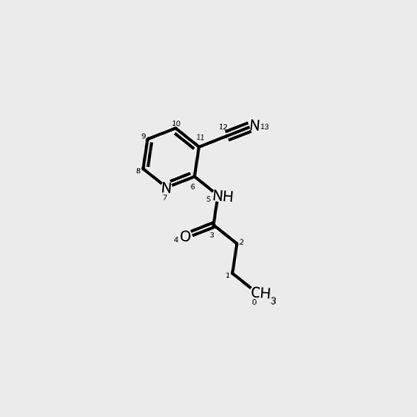 CCCC(=O)Nc1ncccc1C#N